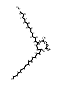 CCCCCCCCCCCCCCCC1CCC(CCCCCCCCCCCCCCC)OC(=O)OOC(=O)O1